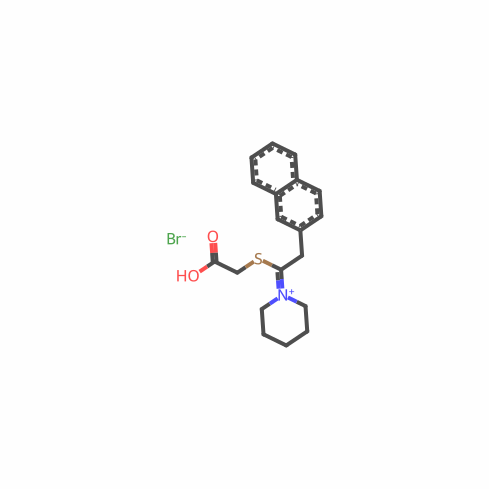 O=C(O)CSC(Cc1ccc2ccccc2c1)=[N+]1CCCCC1.[Br-]